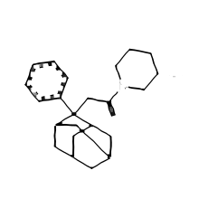 O=C(CC1(c2ccccc2)C2CC3CC(C2)CC1C3)N1CCC[C@H](O)C1